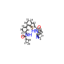 O=C(N[C@H]1CN2CCC1CC2)c1cc2cccc(-c3cccc(NC(=O)C4CCC4)c3)c2s1